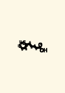 O=C(O)CCCCC1CCSCS1